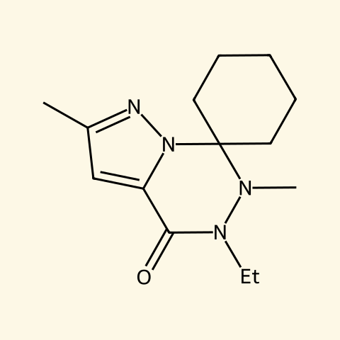 CCN1C(=O)c2cc(C)nn2C2(CCCCC2)N1C